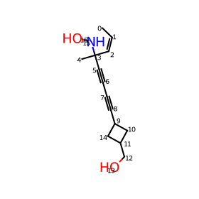 C/C=C\C(C)(C#CC#CC1CC(CO)C1)NO